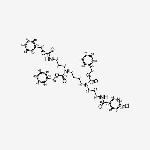 O=C(NCCCN(CCCCN(CCCNC(=O)c1ccc(Cl)nc1)C(=O)OCc1ccccc1)C(=O)OCc1ccccc1)OCc1ccccc1